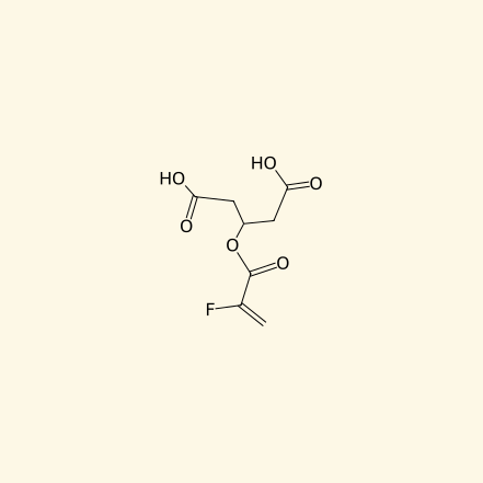 C=C(F)C(=O)OC(CC(=O)O)CC(=O)O